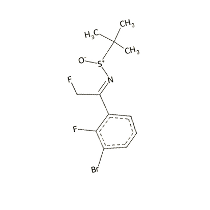 CC(C)(C)[S+]([O-])/N=C(\CF)c1cccc(Br)c1F